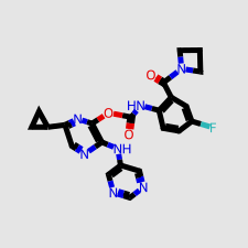 O=C(Nc1ccc(F)cc1C(=O)N1CCC1)Oc1nc(C2CC2)cnc1Nc1cncnc1